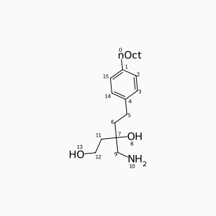 CCCCCCCCc1ccc(CCC(O)(CN)CCO)cc1